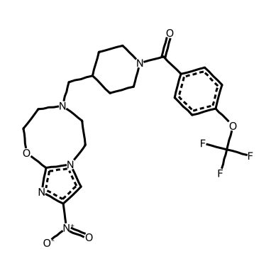 O=C(c1ccc(OC(F)(F)F)cc1)N1CCC(CN2CCOc3nc([N+](=O)[O-])cn3CC2)CC1